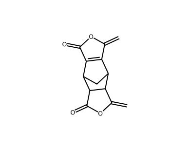 C=C1OC(=O)C2=C1C1CC2C2C(=O)OC(=C)C12